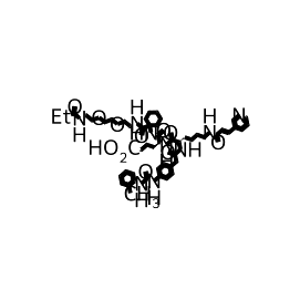 CCC(=O)NCCOCCOCCNC(=O)C1(NC(=O)[C@H](CCCC(=O)O)NC(=O)[C@H](CCCCNC(=O)/C=C/c2cccnc2)NC(=O)Cc2ccc(NC(=O)Nc3ccccc3C)cc2)CCCCC1